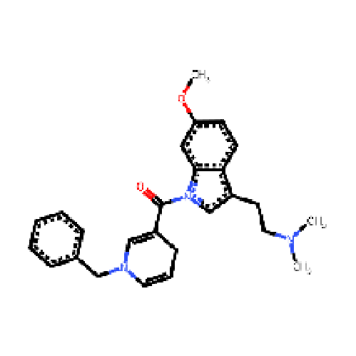 COc1ccc2c(CCN(C)C)cn(C(=O)C3=CN(Cc4ccccc4)C=CC3)c2c1